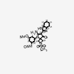 COc1cc(OC)cc(N2C(N)=C(c3nc4ccccc4[nH]3)C(=O)C23CN(S(C)(=O)=O)C3)c1